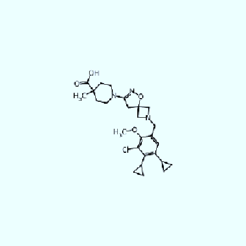 COc1c(CN2CC3(CC(N4CCC(C)(C(=O)O)CC4)=NO3)C2)cc(C2CC2)c(C2CC2)c1Cl